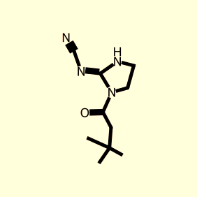 CC(C)(C)CC(=O)N1CCNC1=NC#N